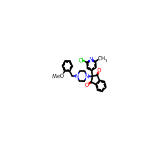 COc1ccccc1CN1CCN(C2(c3cc(C)nc(Cl)c3)C(=O)c3ccccc3C2=O)CC1